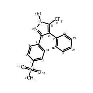 CCn1nc(-c2ccc(S(C)(=O)=O)cc2)c(-c2ccccc2)c1C(F)(F)F